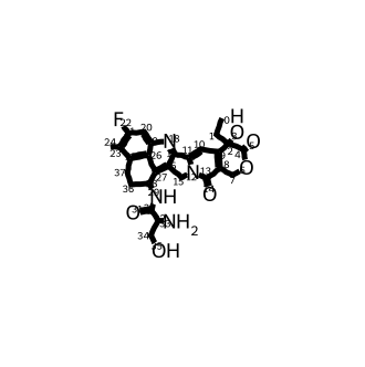 CCC1(O)C(=O)OCc2c1cc1n(c2=O)Cc2c-1nc1cc(F)c(C)c3c1c2C(NC(=O)C(N)CO)CC3